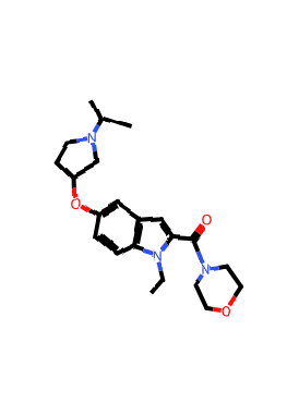 CCn1c(C(=O)N2CCOCC2)cc2cc(OC3CCN(C(C)C)C3)ccc21